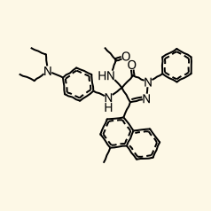 CCN(CC)c1ccc(NC2(NC(C)=O)C(=O)N(c3ccccc3)N=C2c2ccc(C)c3ccccc23)cc1